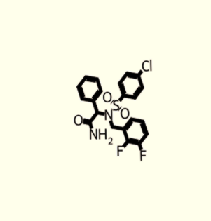 NC(=O)C(c1ccccc1)N(Cc1cccc(F)c1F)S(=O)(=O)c1ccc(Cl)cc1